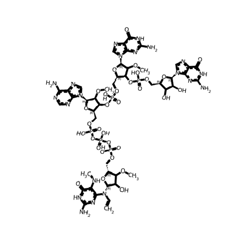 C=CN(c1nc(N)[nH]c(=O)c1NC)[C@@H]1O[C@H](COP(=O)(O)OP(=O)(O)OP(=O)(O)OC[C@H]2O[C@@H](n3cnc4c(N)ncnc43)C(OC)C2OP(=O)(O)OC[C@H]2O[C@@H](n3cnc4c(=O)[nH]c(N)nc43)C(OC)C2OP(=O)(O)OC[C@H]2O[C@@H](n3cnc4c(=O)[nH]c(N)nc43)C(O)C2O)C(OC)C1O